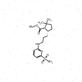 CC(C)(C)OC(=O)N1[C@@H](CCCNc2cccc(S(N)(=O)=O)n2)CCC1(C)C